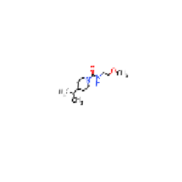 COCCNC(=O)N1CCC(C(C)C)CC1